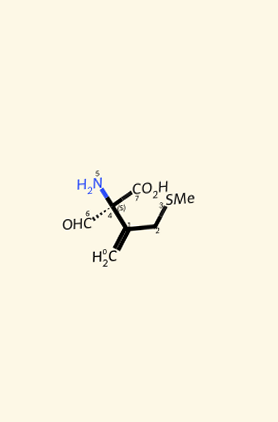 C=C(CSC)[C@](N)(C=O)C(=O)O